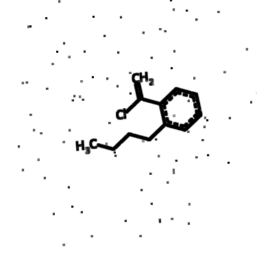 C=C(Cl)c1ccccc1CCCC